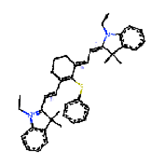 CCN1/C(=C/C=C2\CCCC(/C=C/C3=[N+](CC)c4ccccc4C3(C)C)=C2Sc2ccccc2)C(C)(C)c2ccccc21